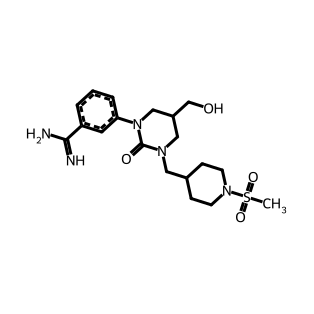 CS(=O)(=O)N1CCC(CN2CC(CO)CN(c3cccc(C(=N)N)c3)C2=O)CC1